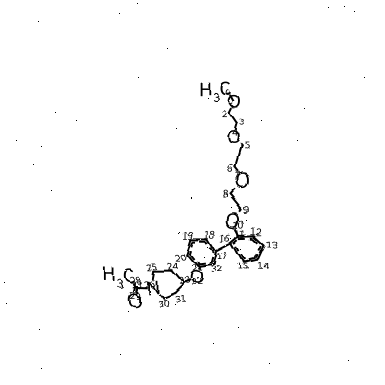 COCCOCCOCCOc1ccccc1-c1cccc(OC2CCN(C(C)=O)CC2)c1